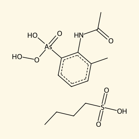 CC(=O)Nc1c(C)cccc1[As](=O)(O)OO.CCCCS(=O)(=O)O